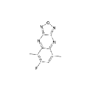 Cc1cc(F)c(C)c2nc3nonc3nc12